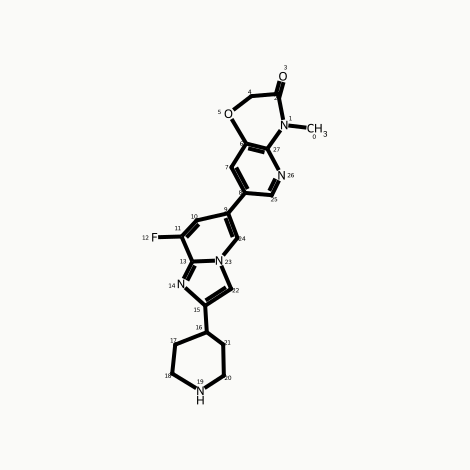 CN1C(=O)COc2cc(-c3cc(F)c4nc(C5CCNCC5)cn4c3)cnc21